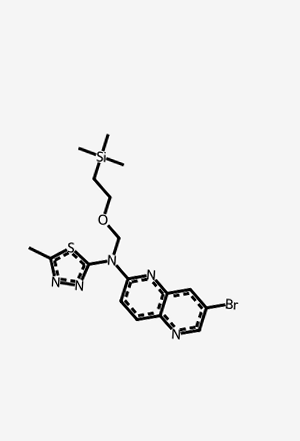 Cc1nnc(N(COCC[Si](C)(C)C)c2ccc3ncc(Br)cc3n2)s1